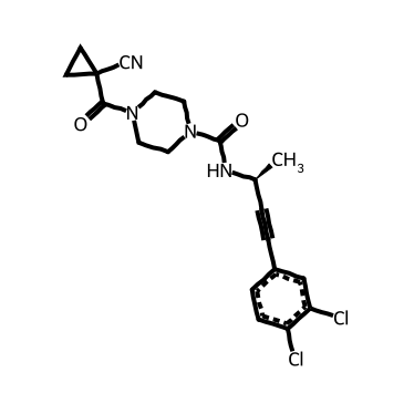 C[C@@H](C#Cc1ccc(Cl)c(Cl)c1)NC(=O)N1CCN(C(=O)C2(C#N)CC2)CC1